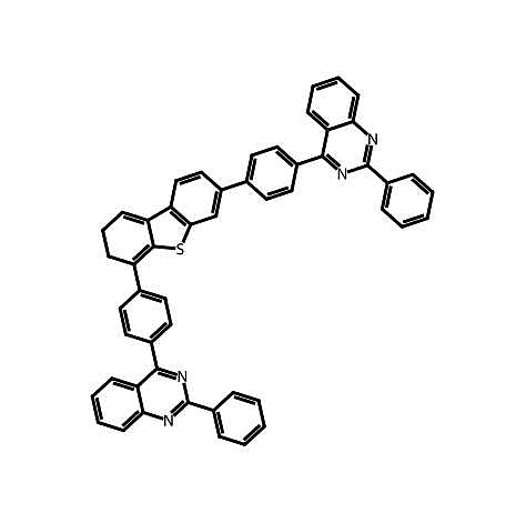 C1=c2c(sc3cc(-c4ccc(-c5nc(-c6ccccc6)nc6ccccc56)cc4)ccc23)=C(c2ccc(-c3nc(-c4ccccc4)nc4ccccc34)cc2)CC1